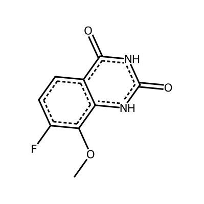 COc1c(F)ccc2c(=O)[nH]c(=O)[nH]c12